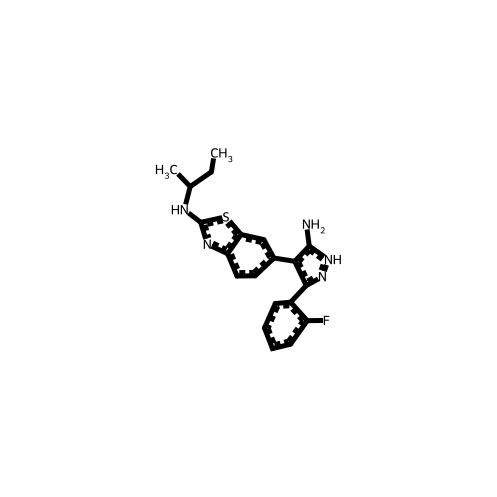 CCC(C)Nc1nc2ccc(-c3c(-c4ccccc4F)n[nH]c3N)cc2s1